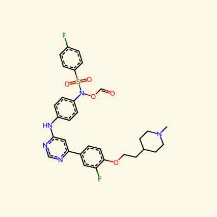 CN1CCC(CCOc2ccc(-c3cc(Nc4ccc(N(OC=O)S(=O)(=O)c5ccc(F)cc5)cc4)ncn3)cc2F)CC1